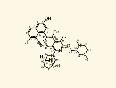 C#Cc1c(F)ccc2cc(O)cc(-c3ncc4c(N5C[C@H]6CC[C@@H](C5)N6)nc(OC[C@@H]5CN(C)CCN5C)c(C)c4c3F)c12